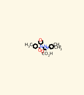 CC1(C)CC=C(n2cc(OC(=O)O)c(N(C(=O)[C@H]3CC[C@H](C)CC3)C3CCOCC3)n2)CC1